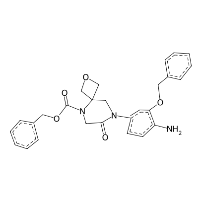 Nc1ccc(N2CC3(COC3)N(C(=O)OCc3ccccc3)CC2=O)cc1OCc1ccccc1